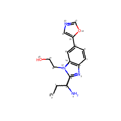 CC(C)CC(N)c1nc2ccc(-c3cnco3)cc2n1CCO